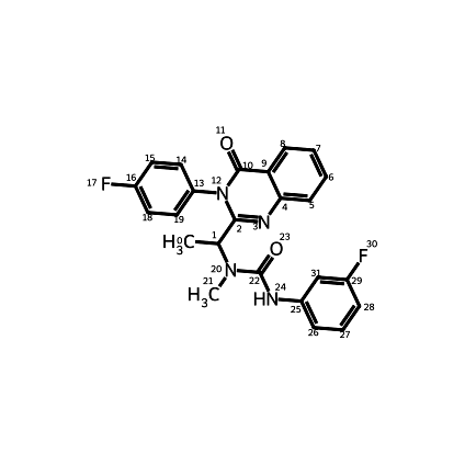 CC(c1nc2ccccc2c(=O)n1-c1ccc(F)cc1)N(C)C(=O)Nc1cccc(F)c1